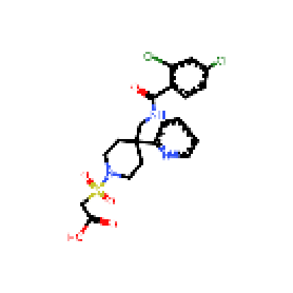 O=C(O)CS(=O)(=O)N1CCC(CNC(=O)c2ccc(Cl)cc2Cl)(c2ccccn2)CC1